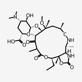 CC[C@H]1OC(=O)C(C)C(=O)[C@H](C)[C@@H](O[C@@H]2O[C@H](C(=O)O)C[C@H](N(C)C)[C@H]2O)[C@](C)(OC)C[C@@H](C)CN[C@H](C)[C@H]2NC(=O)O[C@@]21C